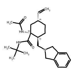 C=C[C@@H]1CC[C@@H](CN2Cc3ccccc3C2)[C@@](NC(C)=O)(C(=O)NC(C)(C)C)C1